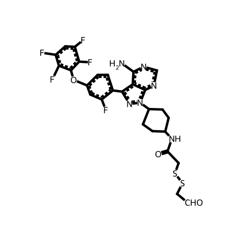 Nc1ncnc2c1c(-c1ccc(Oc3c(F)c(F)cc(F)c3F)cc1F)nn2C1CCC(NC(=O)CSSCC=O)CC1